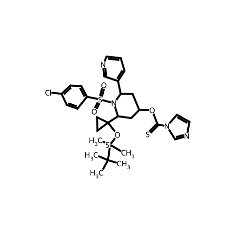 CC(C)(C)[Si](C)(C)OC1(C2CC(OC(=S)n3ccnc3)CC(c3cccnc3)N2S(=O)(=O)c2ccc(Cl)cc2)CC1